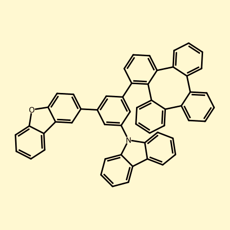 c1ccc2c(c1)-c1ccccc1-c1cccc(-c3cc(-c4ccc5oc6ccccc6c5c4)cc(-n4c5ccccc5c5ccccc54)c3)c1-c1ccccc1-2